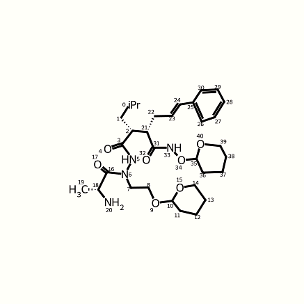 CC(C)C[C@@H](C(=O)NN(CCOC1CCCCO1)C(=O)[C@@H](C)N)[C@H](CC=Cc1ccccc1)C(=O)NOC1CCCCO1